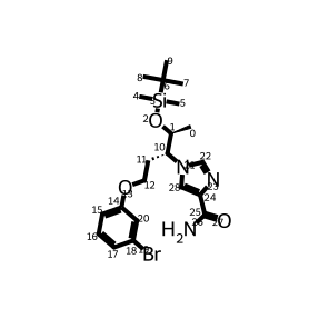 C[C@H](O[Si](C)(C)C(C)(C)C)[C@@H](CCOc1cccc(Br)c1)n1cnc(C(N)=O)c1